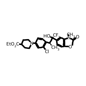 CCOC(=O)C1CCN(c2ccc([C@H](C)[C@](O)(c3ccc4c(c3)N(C)C(=O)CO4)C(F)(F)F)c(Cl)c2)CC1